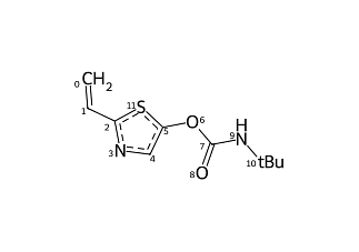 C=Cc1ncc(OC(=O)NC(C)(C)C)s1